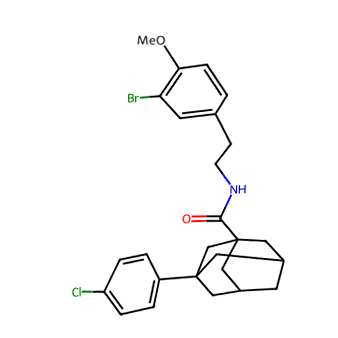 COc1ccc(CCNC(=O)C23CC4CC(C2)CC(c2ccc(Cl)cc2)(C4)C3)cc1Br